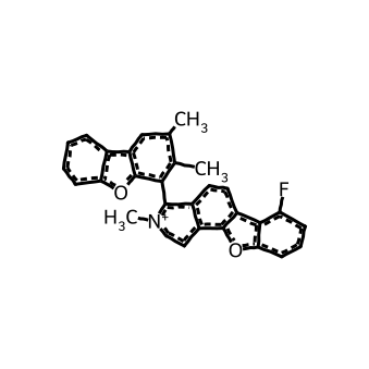 Cc1cc2c(oc3ccccc32)c(-c2c3ccc4c(oc5cccc(F)c54)c3cc[n+]2C)c1C